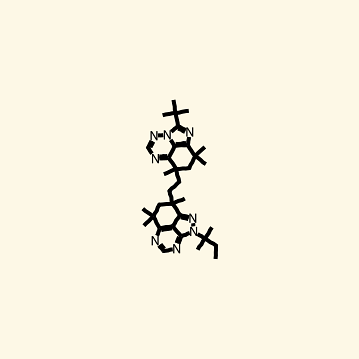 CCC(C)(C)n1nc2c3c(ncnc31)C(C)(C)CC2(C)CCC1(C)CC(C)(C)c2nc(C(C)(C)C)n3ncnc1c23